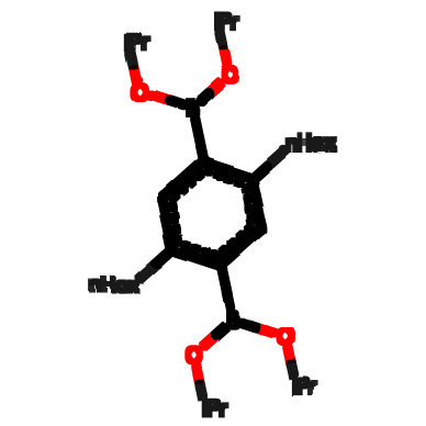 CCCCCCc1cc(B(OC(C)C)OC(C)C)c(CCCCCC)cc1B(OC(C)C)OC(C)C